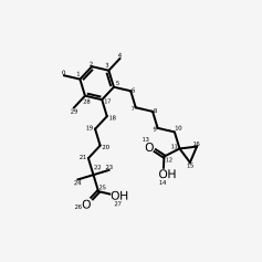 Cc1cc(C)c(CCCCCC2(C(=O)O)CC2)c(CCCCC(C)(C)C(=O)O)c1C